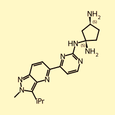 CC(C)c1c2nc(-c3ccnc(N[C@@]4(N)CC[C@H](N)C4)n3)ccc2nn1C